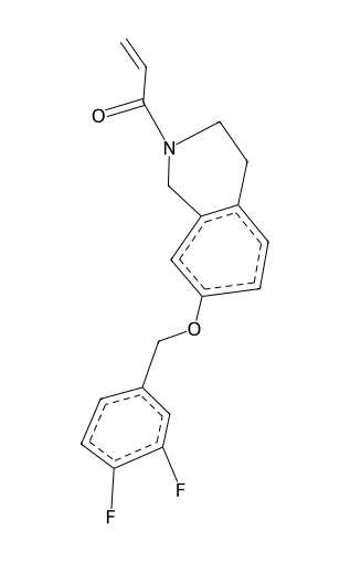 C=CC(=O)N1CCc2ccc(OCc3ccc(F)c(F)c3)cc2C1